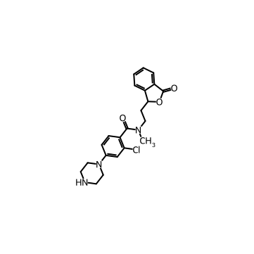 CN(CCC1OC(=O)c2ccccc21)C(=O)c1ccc(N2CCNCC2)cc1Cl